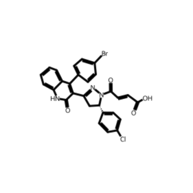 O=C(O)/C=C/C(=O)N1N=C(c2c(-c3ccc(Br)cc3)c3ccccc3[nH]c2=O)C[C@H]1c1ccc(Cl)cc1